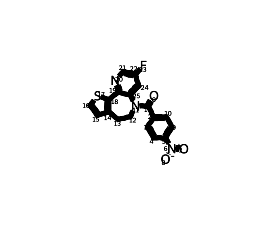 O=C(c1ccc([N+](=O)[O-])cc1)N1CCc2ccsc2-c2ncc(F)cc21